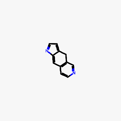 C1=NC2=Cc3ccncc3CC2=C1